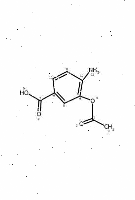 CC(=O)Oc1cc(C(=O)O)ccc1N